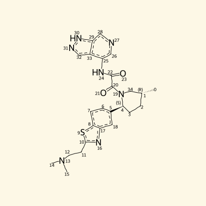 C[C@@H]1CC[C@@H](c2ccc3sc(CCN(C)C)nc3c2)N(C(=O)C(=O)Nc2cncc3[nH]ncc23)C1